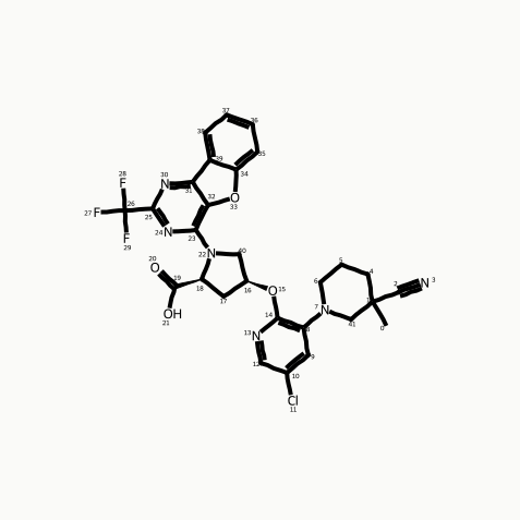 CC1(C#N)CCCN(c2cc(Cl)cnc2O[C@H]2C[C@@H](C(=O)O)N(c3nc(C(F)(F)F)nc4c3oc3ccccc34)C2)C1